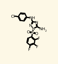 Nc1nc(Nc2ccc(Cl)cc2)nn1S(=O)(=O)c1ccc(F)c(F)c1F